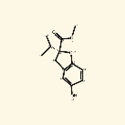 COC(=O)[C@]1(C(C)C)Cc2cc(O)ccc2O1